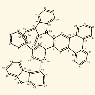 c1ccc(-c2nc(-c3cc4c5ccccc5c5ccccc5c4cc3-n3c4ccccc4c4ccccc43)nc(-c3cccc4sc5ccccc5c34)n2)cc1